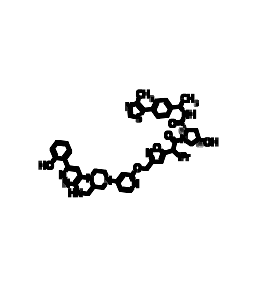 Cc1ncsc1-c1ccc(C(C)NC(=O)[C@@H]2C[C@@H](O)CN2C(=O)C(c2cc(COc3cc(N4CCN5c6cc(-c7ccccc7O)nnc6NCC5C4)ccn3)no2)C(C)C)cc1